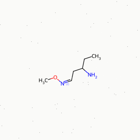 CCC(N)C/C=N\OC